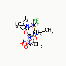 C=CCCCCN(C)C(=O)[C@@H]1C[C@H](Oc2cc(-c3nc(C(F)(F)F)cs3)nc3c(C)c(C)ccc23)CN1C(=O)N[C@]1(C(=O)O)C[C@H]1C=C